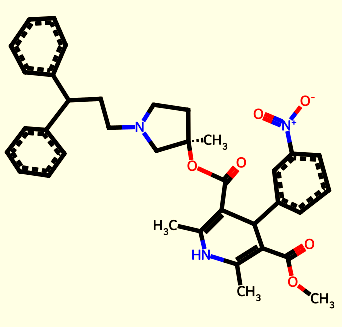 COC(=O)C1=C(C)NC(C)=C(C(=O)O[C@]2(C)CCN(CCC(c3ccccc3)c3ccccc3)C2)C1c1cccc([N+](=O)[O-])c1